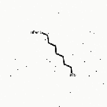 CCCCCCCCCCC[CH2][Mo]